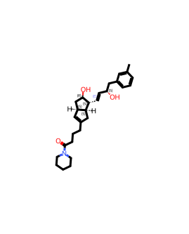 Cc1cccc(C[C@H](O)/C=C/[C@@H]2[C@H]3CC(CCCC(=O)N4CCCCC4)=C[C@H]3C[C@H]2O)c1